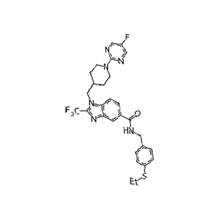 CCSc1ccc(CNC(=O)c2ccc3c(c2)nc(C(F)(F)F)n3CC2CCN(c3ncc(F)cn3)CC2)cc1